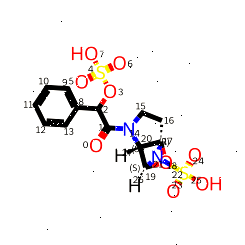 O=C(C(OS(=O)(=O)O)c1ccccc1)N1CC[C@@]23O[C@@H]([C@H]12)N3S(=O)(=O)O